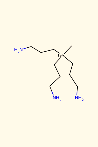 [CH3][Ge]([CH2]CCN)([CH2]CCN)[CH2]CCN